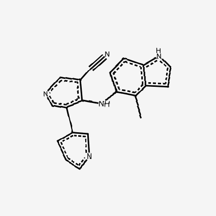 Cc1c(Nc2c(C#N)cncc2-c2cccnc2)ccc2[nH]ccc12